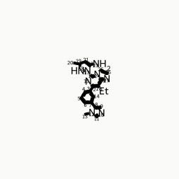 CCc1c(-c2cccc(-c3cncn3C)c2)nc(N2NC(C)C=C2N)n2ccnc12